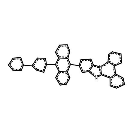 c1ccc(-c2ccc(-c3c4ccccc4c(-c4ccc5c(c4)nc4c6ccccc6c6ccccc6n54)c4ccccc34)cc2)cc1